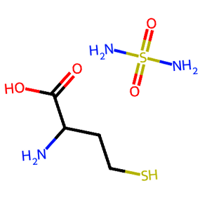 NC(CCS)C(=O)O.NS(N)(=O)=O